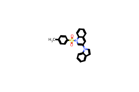 Cc1ccc(S(=O)(=O)N2C=C(n3ccc4c[c]ccc43)C=C3C=CC=CC32)cc1